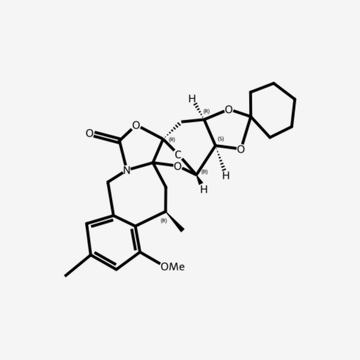 COc1cc(C)cc2c1[C@H](C)CC13O[C@@H]4C[C@]1(C[C@H]1OC5(CCCCC5)O[C@H]14)OC(=O)N3C2